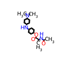 CC(=O)N[C@@H](C)C(=O)Oc1ccc(Nc2ccc(N(C)C)cc2)cc1